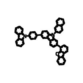 c1ccc2cc(-n3c4ccc(-c5ccc(-n6c7ccccc7c7ccccc76)cc5)cc4c4ccc(-c5cccc6c5oc5ccccc56)cc43)ccc2c1